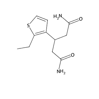 CCc1sccc1C(CC(N)=O)CC(N)=O